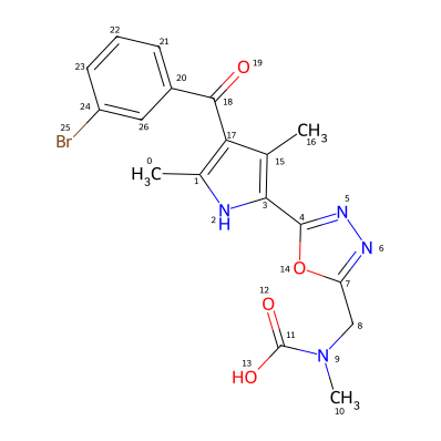 Cc1[nH]c(-c2nnc(CN(C)C(=O)O)o2)c(C)c1C(=O)c1cccc(Br)c1